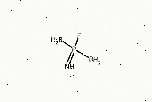 BP(B)(=N)F